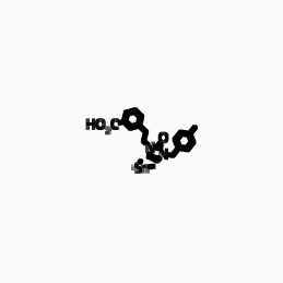 Cc1ccc(Cn2ccn(CCc3cccc(C(=O)O)c3)c2=O)cc1.[CH3][Sn][CH3]